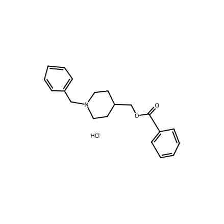 Cl.O=C(OCC1CCN(Cc2ccccc2)CC1)c1ccccc1